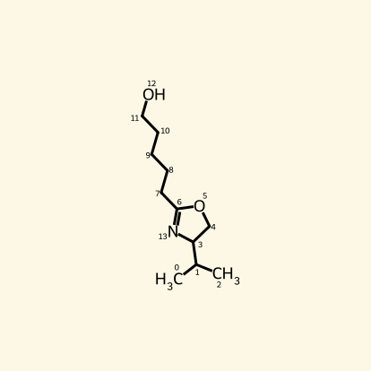 CC(C)C1COC(CCCCCO)=N1